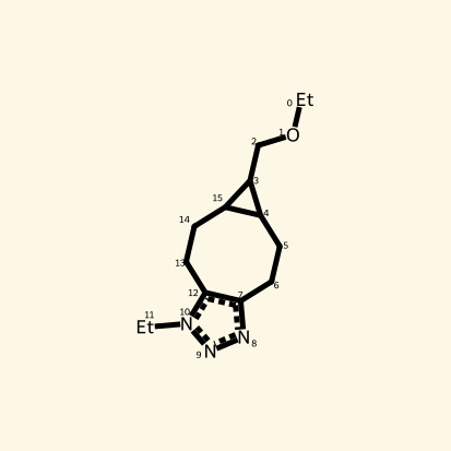 CCOCC1C2CCc3nnn(CC)c3CCC21